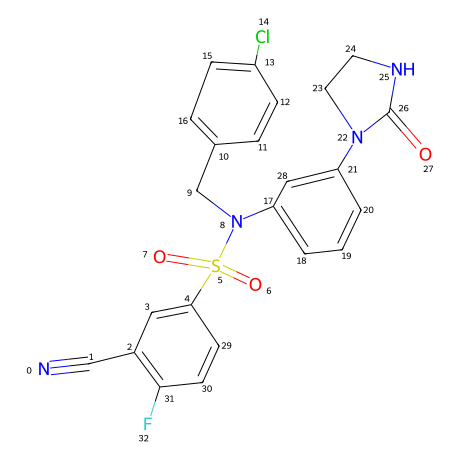 N#Cc1cc(S(=O)(=O)N(Cc2ccc(Cl)cc2)c2cccc(N3CCNC3=O)c2)ccc1F